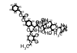 CCN1CCN(C(=O)NC(C(=O)N[C@]2(NO)C(=O)N3C(C(=O)O)=C(CSc4nnnn4C)CS[C@@H]32)c2ccc(OC(=O)OCc3ccccc3)cc2)C(=O)C1=O